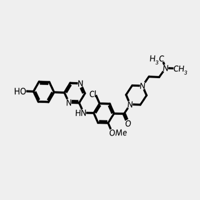 COc1cc(Nc2cncc(-c3ccc(O)cc3)n2)c(Cl)cc1C(=O)N1CCN(CCN(C)C)CC1